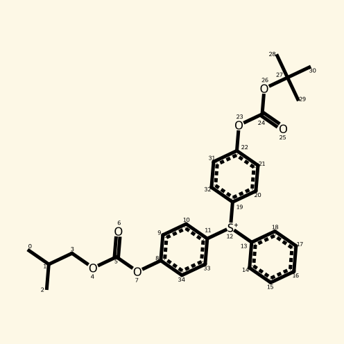 CC(C)COC(=O)Oc1ccc([S+](c2ccccc2)c2ccc(OC(=O)OC(C)(C)C)cc2)cc1